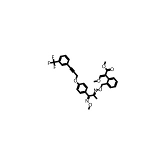 CO/C=C(/C(=O)OC)c1ccccc1CO/N=C(C)/C(=N\OC)c1ccc(OCC#Cc2cccc(C(F)(F)F)c2)cc1